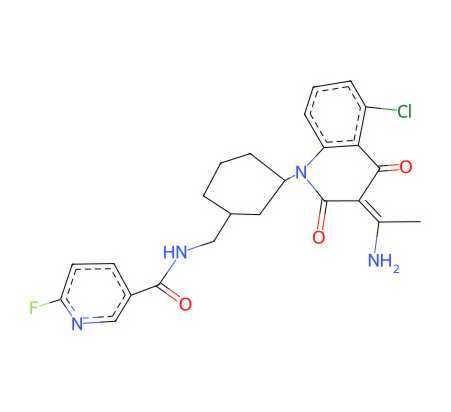 C/C(N)=C1\C(=O)c2c(Cl)cccc2N(C2CCCC(CNC(=O)c3ccc(F)nc3)C2)C1=O